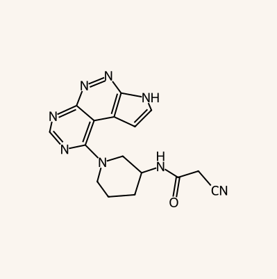 N#CCC(=O)NC1CCCN(c2ncnc3nnc4[nH]ccc4c23)C1